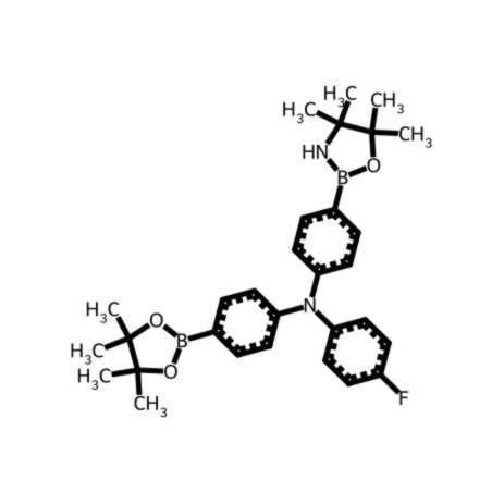 CC1(C)NB(c2ccc(N(c3ccc(F)cc3)c3ccc(B4OC(C)(C)C(C)(C)O4)cc3)cc2)OC1(C)C